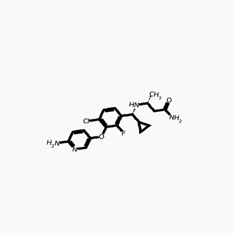 C[C@H](CC(N)=O)N[C@@H](c1ccc(Cl)c(Oc2ccc(N)nc2)c1F)C1CC1